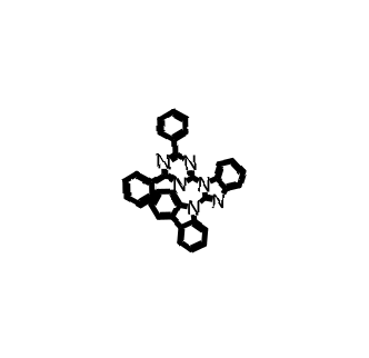 c1ccc(-c2nc(-c3ccccc3)nc(-n3c(-n4c5ccccc5c5ccccc54)nc4ccccc43)n2)cc1